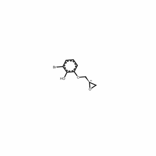 Oc1c(Br)cccc1OC[C@H]1CO1